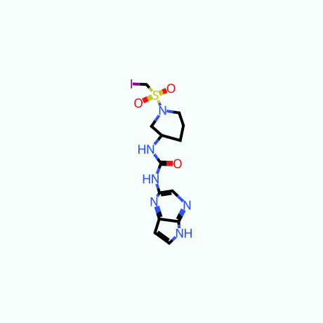 O=C(Nc1cnc2[nH]ccc2n1)NC1CCCN(S(=O)(=O)CI)C1